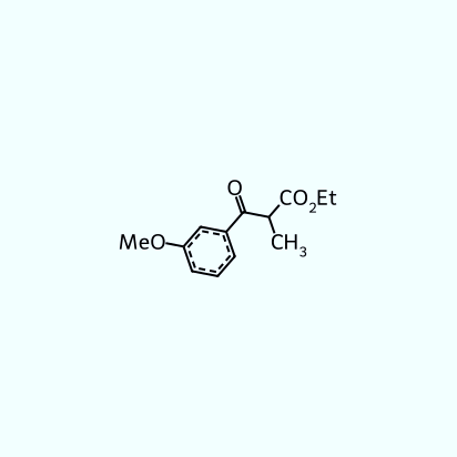 CCOC(=O)C(C)C(=O)c1cccc(OC)c1